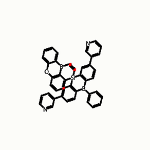 c1ccc(B2c3ccc(-c4cccnc4)cc3[Si]3(c4cc(-c5cccnc5)ccc42)c2ccccc2B2c4ccccc4Oc4cccc3c42)cc1